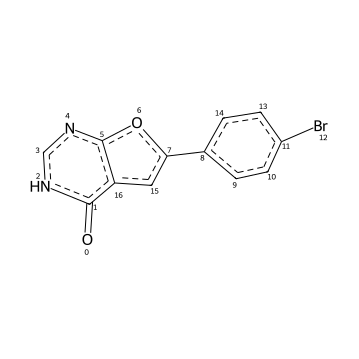 O=c1[nH]cnc2oc(-c3ccc(Br)cc3)cc12